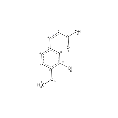 COc1ccc(/C=C\C(=O)O)cc1O